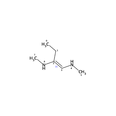 CC/C(=C\NC)NC